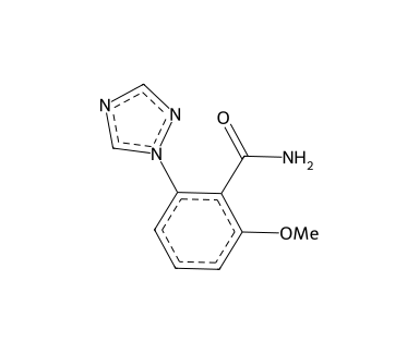 COc1cccc(-n2cncn2)c1C(N)=O